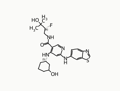 CC(C)(O)[C@H](F)CNC(=O)c1cnc(Nc2ccc3ncsc3c2)cc1N[C@H]1CCCC(O)C1